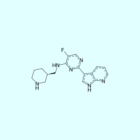 Fc1cnc(-c2c[nH]c3ncccc23)nc1NC[C@@H]1CCCNC1